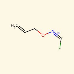 C=CCO/N=[C]\F